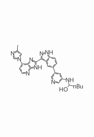 CCCCC(O)Nc1cncc(-c2ccc3[nH]nc(-c4nc5c(-n6cnc(C)c6)ccnc5[nH]4)c3c2)c1